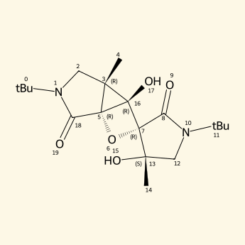 CC(C)(C)N1C[C@@]2(C)[C@]3(O[C@@]4(C(=O)N(C(C)(C)C)C[C@]4(C)O)[C@@]23O)C1=O